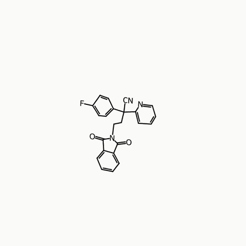 N#CC(CCN1C(=O)c2ccccc2C1=O)(c1ccc(F)cc1)c1ccccn1